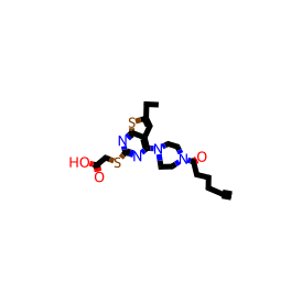 C#CCCCC(=O)N1CCN(c2nc(SCC(=O)O)nc3sc(CC)cc23)CC1